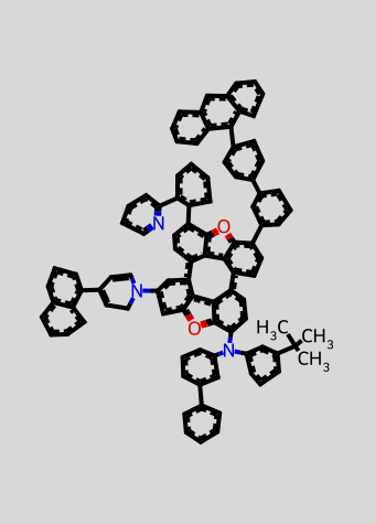 CC(C)(C)c1cccc(N(c2cccc(-c3ccccc3)c2)c2ccc3c4ccc(-c5cccc(-c6ccc(-c7c8ccccc8cc8ccccc78)cc6)c5)c5oc6c(-c7ccccc7-c7ccccn7)ccc(c7cc(N8C=CC(c9cccc%10ccccc9%10)=CC8)cc8oc2c3c87)c6c54)c1